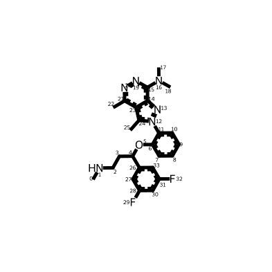 CNCCC(Oc1ccccc1-n1nc2c(N(C)C)nnc(C)c2c1C)c1cc(F)cc(F)c1